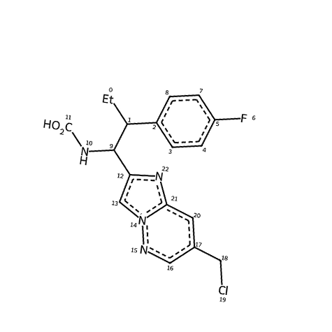 CCC(c1ccc(F)cc1)C(NC(=O)O)c1cn2ncc(CCl)cc2n1